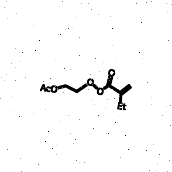 C=C(CC)C(=O)OOCCOC(C)=O